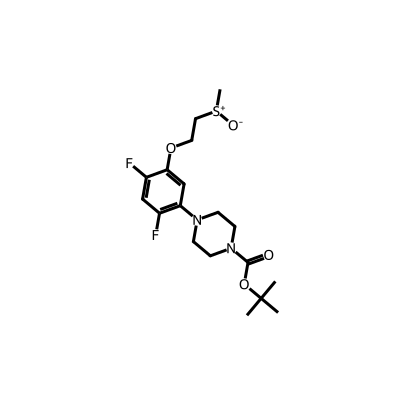 C[S+]([O-])CCOc1cc(N2CCN(C(=O)OC(C)(C)C)CC2)c(F)cc1F